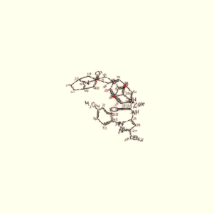 COc1ccc(OCC(=O)N2C3CCC2CC(Cc2ccc(NC(=O)Nc4cc(C(C)(C)C)nn4-c4ccc(C)cc4)cc2)C3)cc1